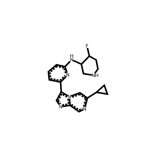 FC1CCNCC1Nc1cccc(-c2cnc3cnc(C4CC4)cn23)n1